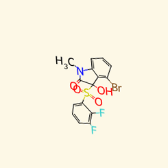 CN1C(=O)C(O)(S(=O)(=O)c2cccc(F)c2F)c2c(Br)cccc21